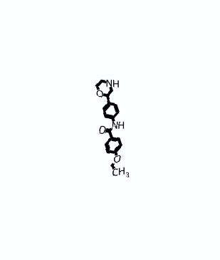 CCOc1ccc(C(=O)Nc2ccc(C3CNCCO3)cc2)cc1